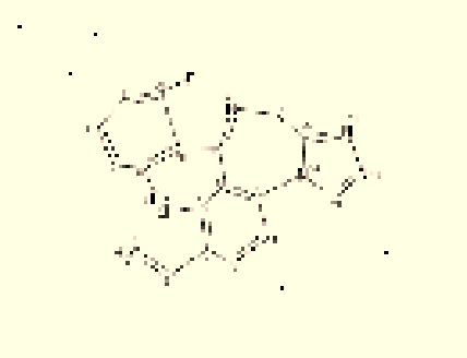 C=Cc1ccc2c(c1Cl)C(c1c(F)cccc1F)=NCc1nncn1-2